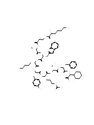 CNC(=O)[C@@H](NC(=O)[C@H](Cc1ccccc1)NC(=O)[C@@H](CS)NC(=O)[C@@H](CCCNC(=N)N)NC(=O)[C@H](Cc1ccc(O)cc1)NC(=O)[C@H](CCCCN)NC(=O)[C@H](Cc1cc2ccccc2[nH]1)NC(=O)[C@H](CO)NC(=O)[C@H](C)CNC(=O)[C@@H](N)CCCCN)C1CCCCC1